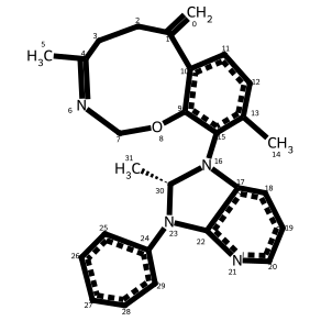 C=C1CC/C(C)=N\COc2c1ccc(C)c2N1c2cccnc2N(c2ccccc2)[C@@H]1C